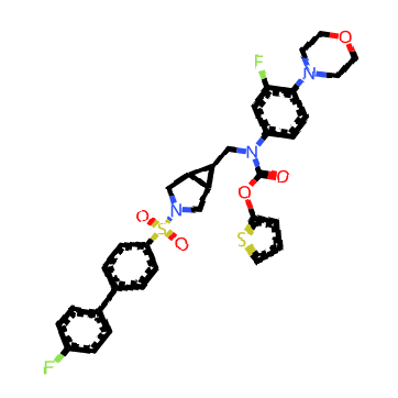 O=C(Oc1cccs1)N(CC1C2CN(S(=O)(=O)c3ccc(-c4ccc(F)cc4)cc3)CC12)c1ccc(N2CCOCC2)c(F)c1